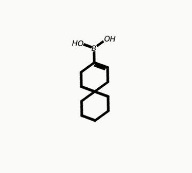 OB(O)C1=CCC2(CCCCC2)CC1